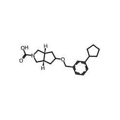 O=C(O)N1C[C@H]2CC(OCc3cccc(C4CCCC4)c3)C[C@H]2C1